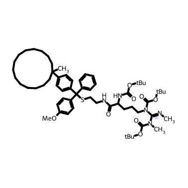 C/N=C(\N(C)C(=O)OC(C)(C)C)N(CCCC(NC(=O)OC(C)(C)C)C(=O)NCCSC(c1ccccc1)(c1ccc(OC)cc1)c1ccc(C2(C)CCCCCCCCCCCCCC2)cc1)C(=O)OC(C)(C)C